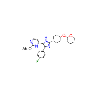 COc1nccc(-c2[nH]c(C3CCC(OC4CCCCO4)CC3)nc2-c2ccc(F)cc2)n1